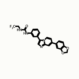 O=C(NCC(F)(F)F)Nc1cccc(-c2cnc3cc(-c4ccc5c(c4)OCO5)ccn23)c1